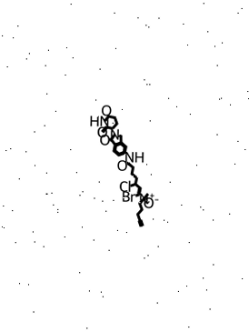 C#CCCC[N+](C)([O-])/C(Br)=C/C(Cl)CCCC(=O)Nc1ccc2c(c1)CN(C1CCC(=O)NC1=O)C2=O